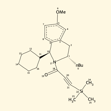 CCCC[C@H]1Cc2cc(OC)ccc2[C@H](C2CCCCC2)N1C(=O)C#C[Si](C)(C)C